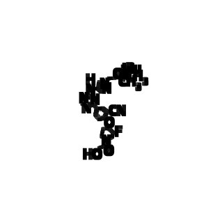 CC(C)(C)[Si](C)(C)OCCn1cc(Nc2ncnc(-c3ccc(O[C@H]4CCN(C(=O)CO)C[C@H]4F)c(C#N)c3)n2)cn1